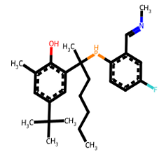 CCCCCC(C)(Pc1ccc(F)cc1/C=N/C)c1cc(C(C)(C)C)cc(C)c1O